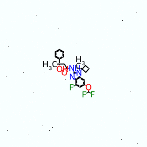 CC(O)(CC(=O)Nc1nc2c(F)cc(OC(F)F)cc2n1C1(C)CCC1)c1ccccc1